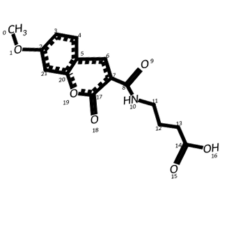 COc1ccc2cc(C(=O)NCCCC(=O)O)c(=O)oc2c1